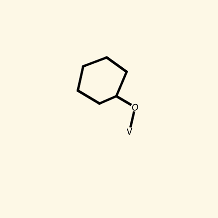 [V][O]C1CCCCC1